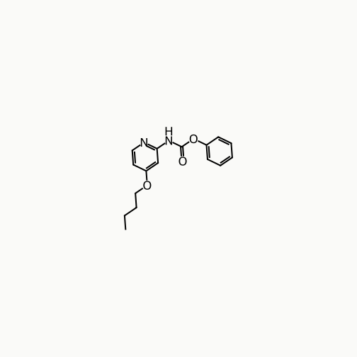 CCCCOc1ccnc(NC(=O)Oc2ccccc2)c1